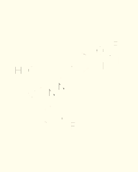 CC1CC(c2ccc(OC(F)(F)F)cc2)=NN(c2cccc(F)c2)C1=O